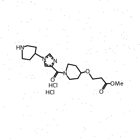 COC(=O)CCOC1CCN(C(=O)c2cn(C3CCNCC3)cn2)CC1.Cl.Cl